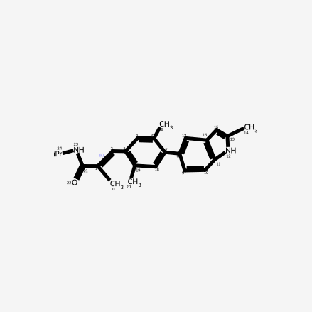 C/C(=C\c1cc(C)c(-c2ccc3[nH]c(C)cc3c2)cc1C)C(=O)NC(C)C